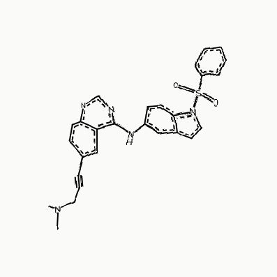 CN(C)CC#Cc1ccc2ncnc(Nc3ccc4c(ccn4S(=O)(=O)c4ccccc4)c3)c2c1